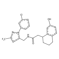 O=C(CC1CCCc2ccc(O)cc21)NCc1cc(C(F)(F)F)nn1-c1cccc(Cl)c1